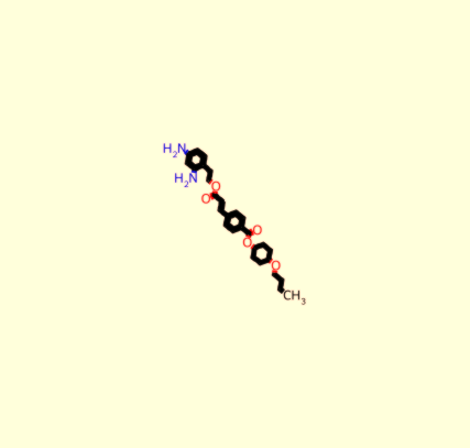 CCCCOC1CCC(OC(=O)c2ccc(/C=C/C(=O)OCCc3ccc(N)cc3N)cc2)CC1